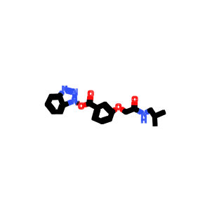 CC(C)CNC(=O)COc1cccc(C(=O)On2nnc3ccccc32)c1